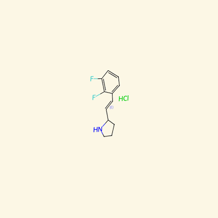 Cl.Fc1cccc(/C=C/C2CCCN2)c1F